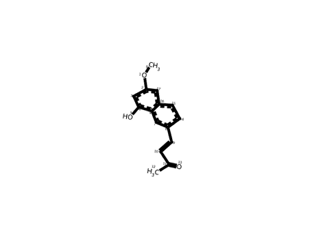 COc1cc(O)c2cc(C=CC(C)=O)ccc2c1